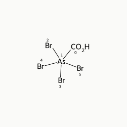 O=C(O)[As](Br)(Br)(Br)Br